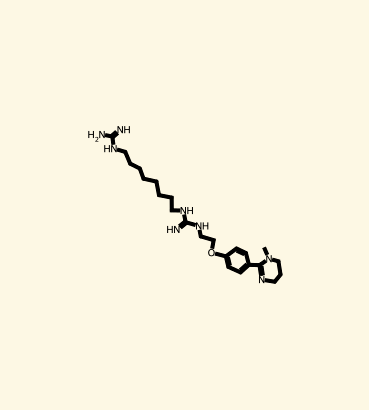 CN1CCCN=C1c1ccc(OCCNC(=N)NCCCCCCCCNC(=N)N)cc1